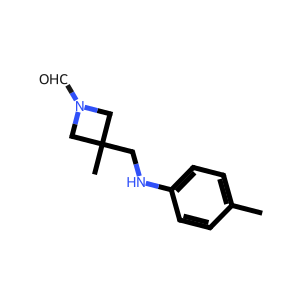 Cc1ccc(NCC2(C)CN(C=O)C2)cc1